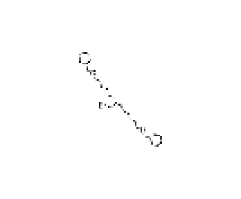 BrCC(CCCCCCOCc1ccccc1)CCCCCCOCc1ccccc1